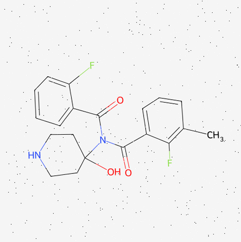 Cc1cccc(C(=O)N(C(=O)c2ccccc2F)C2(O)CCNCC2)c1F